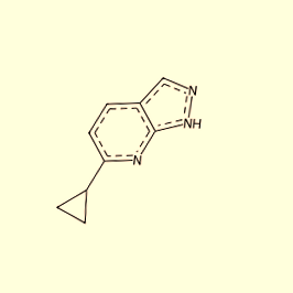 c1cc2cn[nH]c2nc1C1CC1